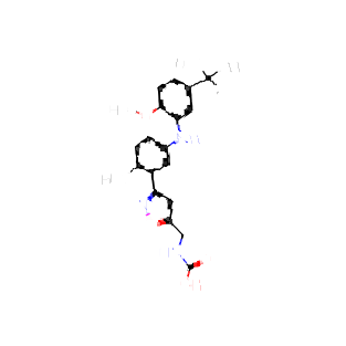 COc1ccc(C(C)(C)C)cc1Nc1ccc(C)c(-c2cc(CNC(=O)O)on2)c1